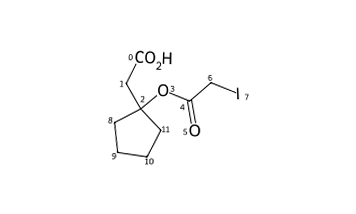 O=C(O)CC1(OC(=O)CI)CCCC1